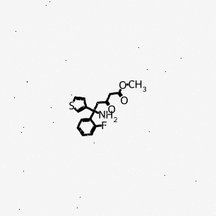 COC(=O)CC(=O)CC(N)(c1ccsc1)c1ccccc1F